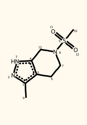 Cc1n[nH]c2c1CCN(S(C)(=O)=O)C2